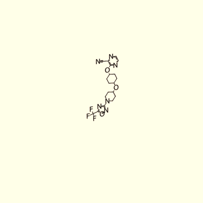 N#Cc1nccnc1O[C@H]1CC[C@H](OC2CCN(c3noc(C(F)(F)F)n3)CC2)CC1